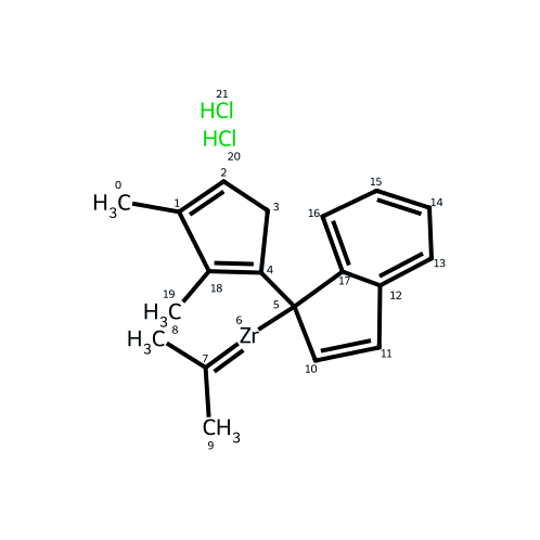 CC1=CCC([C]2([Zr]=[C](C)C)C=Cc3ccccc32)=C1C.Cl.Cl